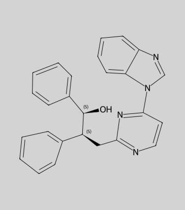 O[C@H](c1ccccc1)[C@@H](Cc1nccc(-n2cnc3ccccc32)n1)c1ccccc1